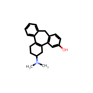 CN(C)C1CCC2=C(C1)c1cc(O)ccc1Cc1ccccc12